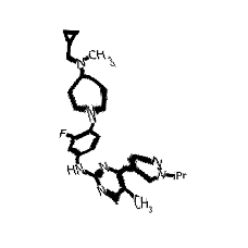 Cc1cnc(Nc2ccc(N3CCC(N(C)CC4CC4)CC3)c(F)c2)nc1-c1cnn(C(C)C)c1